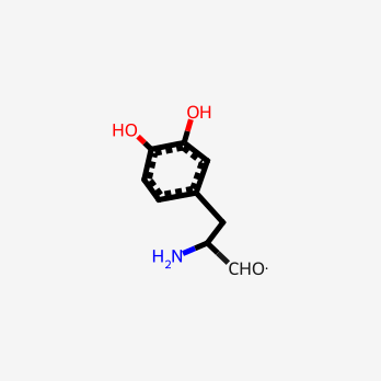 NC([C]=O)Cc1ccc(O)c(O)c1